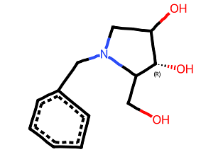 OCC1[C@@H](O)C(O)CN1Cc1ccccc1